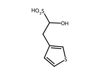 O=S(=O)(O)C(O)Cc1ccsc1